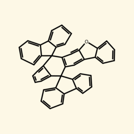 c1ccc2c(c1)-c1ccccc1C21c2ccccc2C2(c3ccccc3-c3ccccc32)c2cc3c(cc21)oc1ccccc13